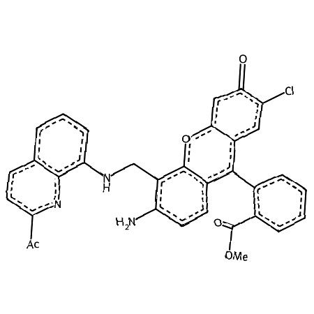 COC(=O)c1ccccc1-c1c2cc(Cl)c(=O)cc-2oc2c(CNc3cccc4ccc(C(C)=O)nc34)c(N)ccc12